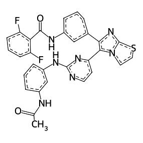 CC(=O)Nc1cccc(Nc2nccc(-c3c(-c4cccc(NC(=O)c5c(F)cccc5F)c4)nc4sccn34)n2)c1